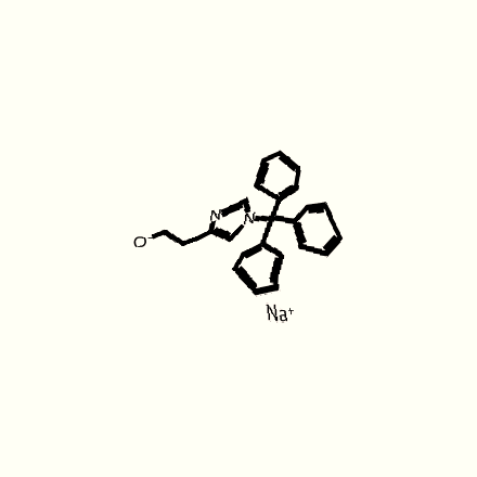 [Na+].[O-]CCc1cn(C(c2ccccc2)(c2ccccc2)c2ccccc2)cn1